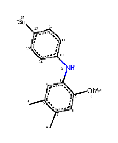 COc1cc(C)c(C)cc1Nc1ccc(C(C)(C)C)cc1